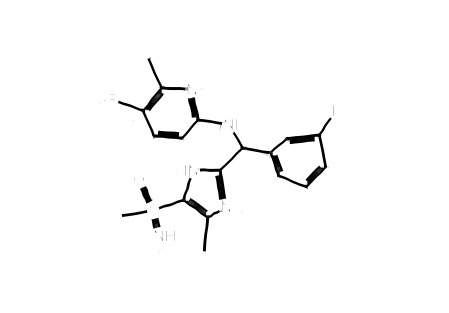 Cc1nc(NC(c2cccc(F)c2)c2nc(C)c(S(C)(=N)=O)[nH]2)ccc1F